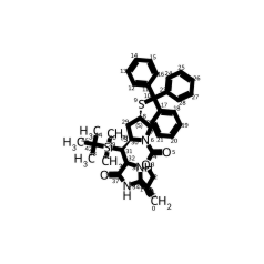 C=CCOC(=O)N1C[C@@H](SC(c2ccccc2)(c2ccccc2)c2ccccc2)C[C@@H]1C(C1NC(=O)NC1=O)[Si](C)(C)C(C)(C)C